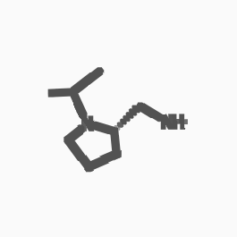 CC(C)N1CCC[C@H]1C[NH]